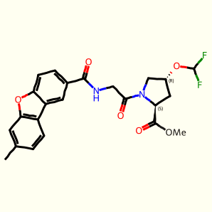 COC(=O)[C@@H]1C[C@@H](OC(F)F)CN1C(=O)CNC(=O)c1ccc2oc3cc(C)ccc3c2c1